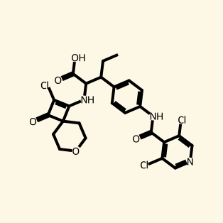 CCC(c1ccc(NC(=O)c2c(Cl)cncc2Cl)cc1)C(NC1=C(Cl)C(=O)C12CCOCC2)C(=O)O